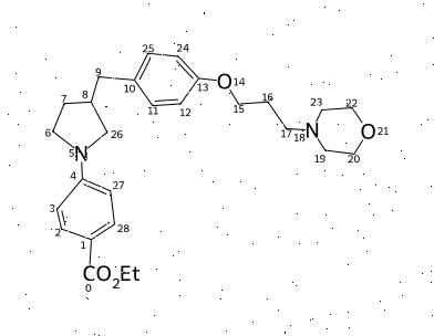 CCOC(=O)c1ccc(N2CCC(Cc3ccc(OCCCN4CCOCC4)cc3)C2)cc1